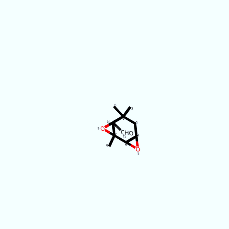 CC1(C)CC2OC2C2(C)OC12C=O